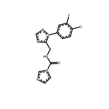 O=C(NCc1ncnn1-c1ccc(Cl)c(F)c1)n1ccnc1